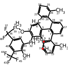 COc1ccc(-c2c(-c3c(C)cccc3C)cccc2-c2c(C)cccc2C)c(OC)c1Pc1cc(C(F)(F)F)cc(C(F)(F)F)c1O